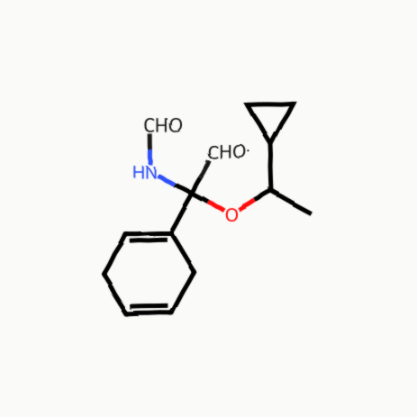 CC(OC([C]=O)(NC=O)C1=CCC=CC1)C1CC1